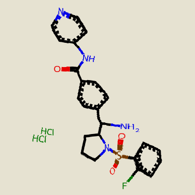 Cl.Cl.NC(c1ccc(C(=O)Nc2ccncc2)cc1)C1CCCN1S(=O)(=O)c1ccccc1F